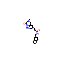 CN1CC(=O)Nc2ncc(/C=C/C(=O)N(C)Cc3ccc4c(c3)CCC4)cc2C1